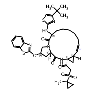 CC(C)(C)c1csc(N[C@H]2CCCCC/C=C\[C@@H]3C[C@@]3(C(=O)CS(=O)(=O)C3(C)CC3)NC(=O)[C@@H]3C[C@@H](Oc4nc5ccccc5s4)CN3C2=O)n1